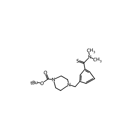 CN(C)C(=S)c1cccc(CN2CCN(C(=O)OC(C)(C)C)CC2)c1